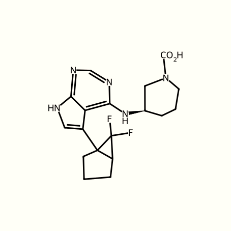 O=C(O)N1CCC[C@@H](Nc2ncnc3[nH]cc(C45CCCC4C5(F)F)c23)C1